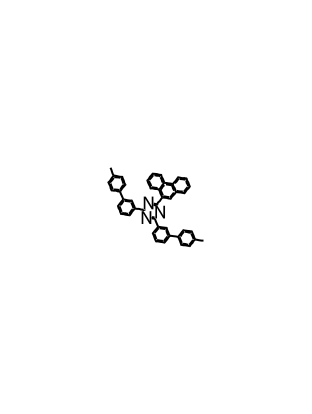 Cc1ccc(-c2cccc(-c3nc(-c4cccc(-c5ccc(C)cc5)c4)nc(-c4cc5ccccc5c5ccccc45)n3)c2)cc1